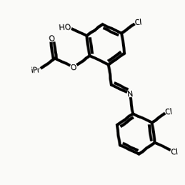 CC(C)C(=O)Oc1c(O)cc(Cl)cc1C=Nc1cccc(Cl)c1Cl